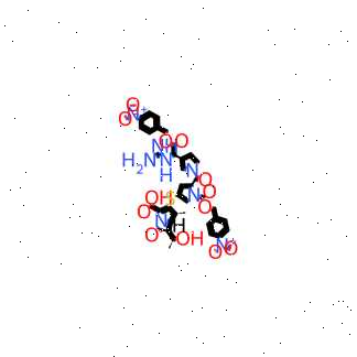 C[C@@H](O)[C@H]1C(=O)N2C(C(=O)O)=C(S[C@H]3C[C@@H](C(=O)N4CC[C@H](C(NC(=N)N)C(=O)OCc5ccc([N+](=O)[O-])cc5)C4)N(C(=O)OCc4ccc([N+](=O)[O-])cc4)C3)[C@H](C)[C@H]12